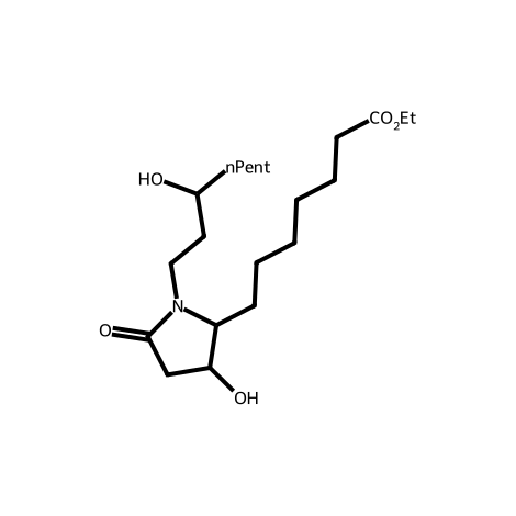 CCCCCC(O)CCN1C(=O)CC(O)C1CCCCCCC(=O)OCC